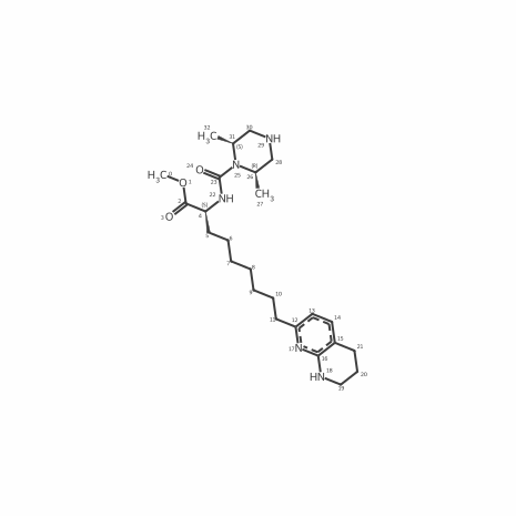 COC(=O)[C@H](CCCCCCCc1ccc2c(n1)NCCC2)NC(=O)N1[C@H](C)CNC[C@@H]1C